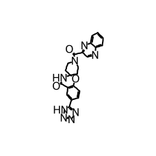 O=C1NC2(CCN(C(=O)c3cnc4ccccc4n3)CC2)Oc2ccc(-c3nnn[nH]3)cc21